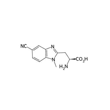 Cn1c(C[C@H](N)C(=O)O)nc2cc(C#N)ccc21